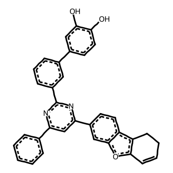 Oc1ccc(-c2cccc(-c3nc(-c4ccccc4)cc(-c4ccc5c6c(oc5c4)C=CCC6)n3)c2)cc1O